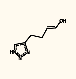 OC=CCCc1c[nH]nn1